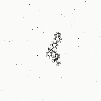 Cc1cccc2nc(-c3ccc(-c4ccc5occc5c4)cc3)n(C[C@H]3CCN(C(=O)C4CC4)C3)c12